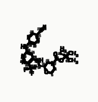 CC(C)(C)OC(=O)N1CCO[C@H](CNc2cc(Nc3cnc(C#N)cn3)nnc2C(F)(F)F)C1